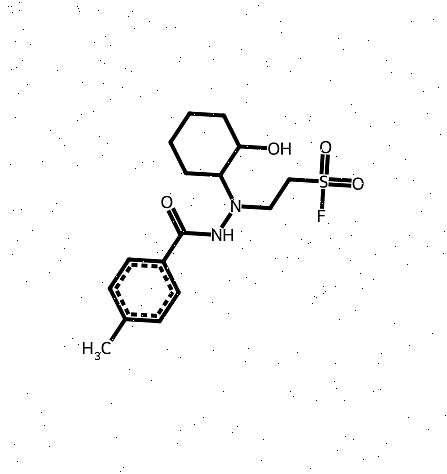 Cc1ccc(C(=O)NN(CCS(=O)(=O)F)C2CCCCC2O)cc1